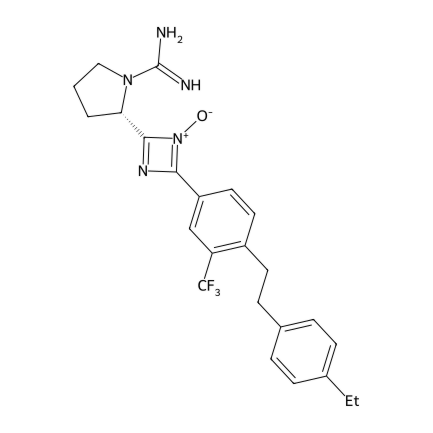 CCc1ccc(CCc2ccc(C3=[N+]([O-])C([C@@H]4CCCN4C(=N)N)=N3)cc2C(F)(F)F)cc1